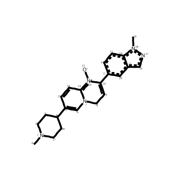 CN1CCC(C2=CN3CC=C(c4ccc5c(cnn5C)c4)[N+]([O-])=C3C=C2)CC1